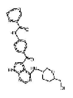 O=C(Nc1ccc(C(=O)c2c[nH]c3ncnc(NC4CCC(CO)OC4)c23)cc1)c1ccccn1